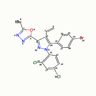 C=Cc1c(-c2nnc(C(C)(C)C)o2)nn(-c2ccc(Cl)cc2Cl)c1-c1ccc(Br)cc1